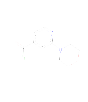 O=C(Cl)c1ccnc(N2CCOCC2)c1